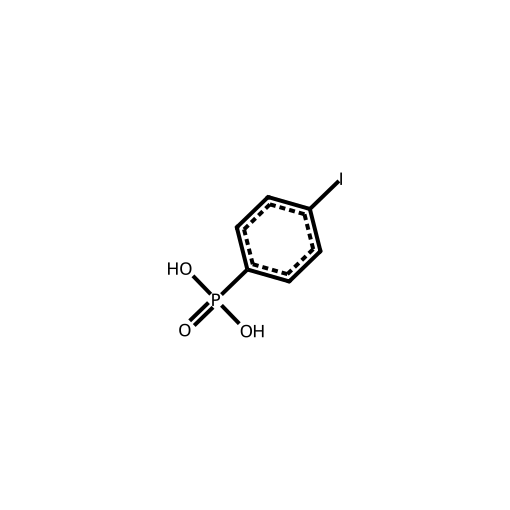 O=P(O)(O)c1ccc(I)cc1